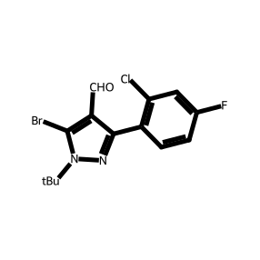 CC(C)(C)n1nc(-c2ccc(F)cc2Cl)c(C=O)c1Br